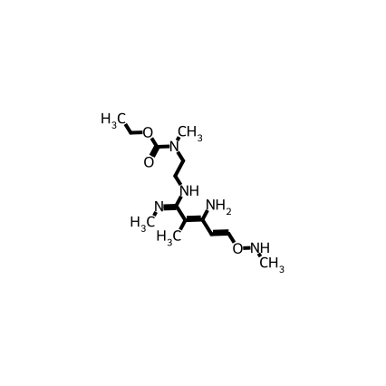 CCOC(=O)N(C)CCNC(=N/C)/C(C)=C(N)/C=C/ONC